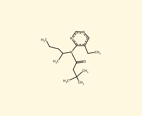 CCCC(C)N(C(=O)CC(C)(C)C)c1ncncc1CC